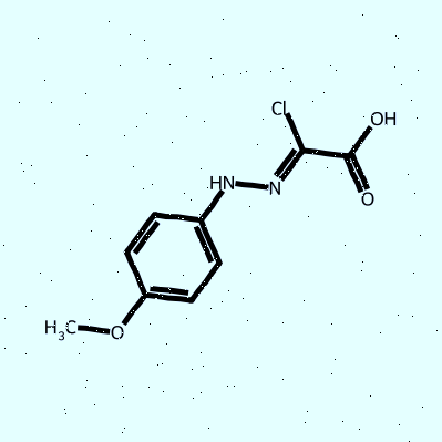 COc1ccc(NN=C(Cl)C(=O)O)cc1